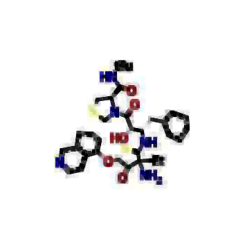 CC[C@@](N)(C(=O)COc1cccc2cnccc12)C(=S)N[C@@H](Cc1ccccc1)[C@H](O)C(=O)N1CSC[C@H]1C(=O)NC(C)(C)C